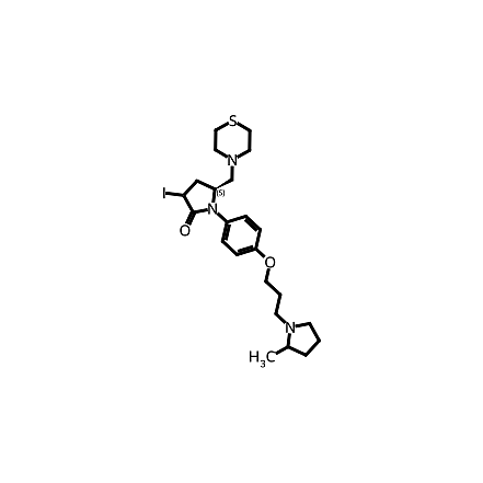 CC1CCCN1CCCOc1ccc(N2C(=O)C(I)C[C@H]2CN2CCSCC2)cc1